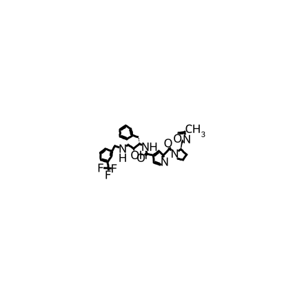 Cc1coc([C@H]2CCCN2C(=O)c2cc(C(=O)N[C@@H](Cc3ccccc3)[C@@H](O)CNCc3cccc(C(F)(F)F)c3)ccn2)n1